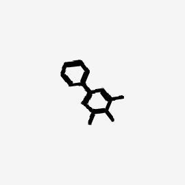 Cc1[c]c(-c2ccccc2)cc(C)c1C